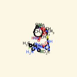 COc1cc2cc(c1Cl)N(C)C(=O)C[C@H](OC(O)C(C)N(C)C(=O)CCSSCCNC(=O)CN1CCN(CC(=O)O)CCN(CC(=O)NCCNc3ncc(-c4cc(C)cc(F)c4)c(N4CCC(N)CC4)c3-c3nc4ccc(Cl)cc4[nH]3)CC1)C1(C)OC1C(C)C1C[C@](O)(C/C=C/C=C(\C)C2)NC(=O)O1